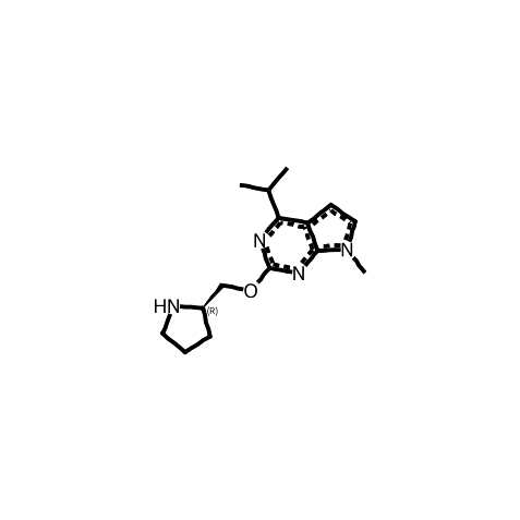 CC(C)c1nc(OC[C@H]2CCCN2)nc2c1ccn2C